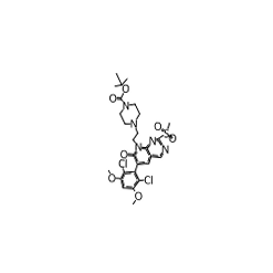 COc1cc(OC)c(Cl)c(-c2cc3cnc(S(C)(=O)=O)nc3n(CCN3CCN(C(=O)OC(C)(C)C)CC3)c2=O)c1Cl